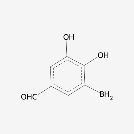 Bc1cc(C=O)cc(O)c1O